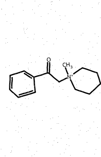 C[N+]1(CC(=O)c2ccccc2)CCCCC1